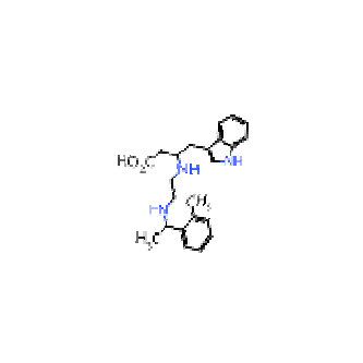 Cc1ccccc1C(C)NCCN[C@@H](CC(=O)O)Cc1c[nH]c2ccccc12